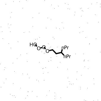 CCCC(CCC)CCOOOO